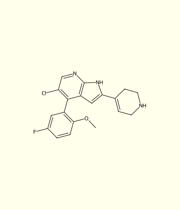 COc1ccc(F)cc1-c1c(Cl)cnc2[nH]c(C3=CCNCC3)cc12